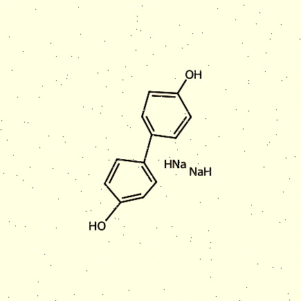 Oc1ccc(-c2ccc(O)cc2)cc1.[NaH].[NaH]